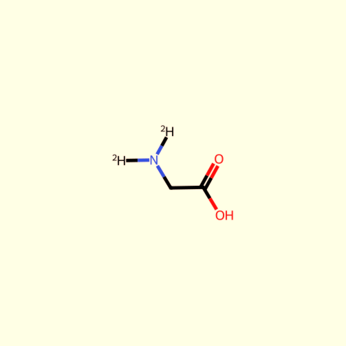 [2H]N([2H])CC(=O)O